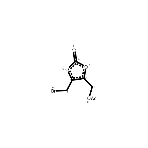 CC(=O)OCc1oc(=O)oc1CBr